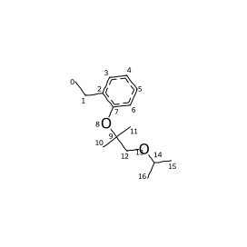 CCc1ccccc1OC(C)(C)COC(C)C